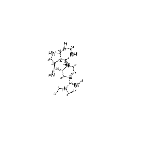 CCN1CC=[N+](C)C1C1=CCN(C2NCNC3NCC(C#N)C32)CC1